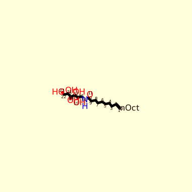 CCCCCCCCC=CCCCCCCCC(=O)NCC(O)C(O)C(O)C(O)CO